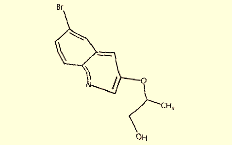 CC(CO)Oc1cnc2ccc(Br)cc2c1